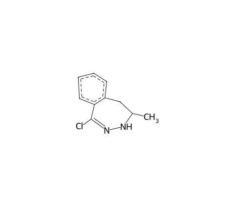 CC1Cc2ccccc2C(Cl)=NN1